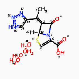 C/C(=C1\C(=O)N2C(C(=O)O)=CS[C@@H]12)c1c[nH]nn1.O.O.O.O